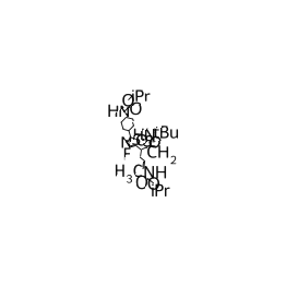 C=C(/C(=C\C=C(/C)NC(=O)OC(C)C)c1sc(C2CCC(NC(=O)OC(C)C)CC2)nc1F)S(=O)(=O)NC(C)(C)C